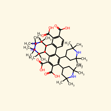 CC1(C)CC(c2c(-c3c(C4CC(C)(C)NC(C)(C)C4)c(C(=O)O)c(C(=O)O)c(C4CC(C)(C)NC(C)(C)C4)c3C3CC(C)(C)NC(C)(C)C3)ccc(C(=O)O)c2C(=O)O)CC(C)(C)N1